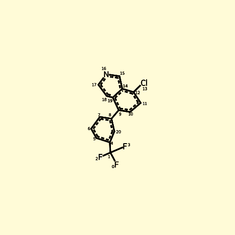 FC(F)(F)c1cccc(-c2ccc(Cl)c3cnccc23)c1